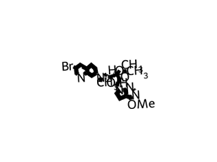 COc1ncnc2c1ccn2[C@@H]1O[C@H](CN(C)c2ccc3cc(Br)cnc3c2)[C@H]2OC(C)(C)O[C@H]21